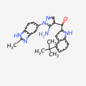 Cc1nc2cc(-n3ncc(C(=O)c4cc5c(C(C)(C)C)cccc5[nH]4)c3N)ccc2[nH]1